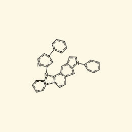 c1ccc(-c2ccnc(-n3c4ccccc4c4ccc5cc6c(ccn6-c6ccccc6)cc5c43)c2)cc1